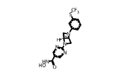 O=C(NO)c1cnc(N2CC3[C@H]2CN3c2cccc(SC(F)(F)F)c2)nc1